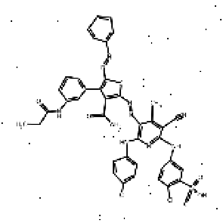 CCC(=O)Nc1cccc(-c2c(N=Nc3ccccc3)sc(N=Nc3c(Nc4ccc(Cl)cc4)nc(Nc4ccc(Cl)c(S(=O)(=O)O)c4)c(C#N)c3C)c2C(N)=O)c1